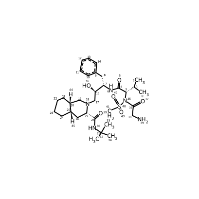 CC(C)[C@@H](C(=O)N[C@@H](Cc1ccccc1)[C@H](O)CN1C[C@H]2CCCC[C@H]2C[C@H]1C(=O)NC(C)(C)C)N(C(=O)CN)S(C)(=O)=O